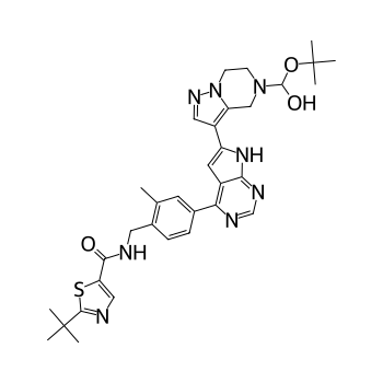 Cc1cc(-c2ncnc3[nH]c(-c4cnn5c4CN(C(O)OC(C)(C)C)CC5)cc23)ccc1CNC(=O)c1cnc(C(C)(C)C)s1